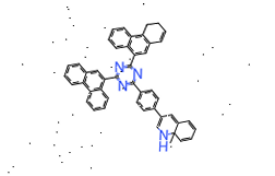 CC12C=CC=CC1=CC(c1ccc(-c3nc(-c4cc5c(c6ccccc46)CCC=C5)nc(-c4cc5ccccc5c5ccccc45)n3)cc1)=CN2